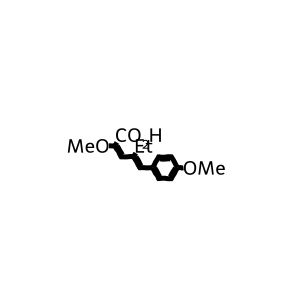 CCC(=C\c1ccc(OC)cc1)/C=C(/OC)C(=O)O